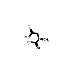 CN(C[C](=O)[Mo])C(=N)N